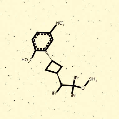 CC(C)C([C@H]1C[C@H](c2cc([N+](=O)[O-])ccc2C(=O)O)C1)C(O[SiH3])(C(C)C)C(C)C